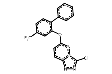 FC(F)(F)c1ccc(-c2ccccc2)c(Oc2ccc3nnc(Cl)n3n2)c1